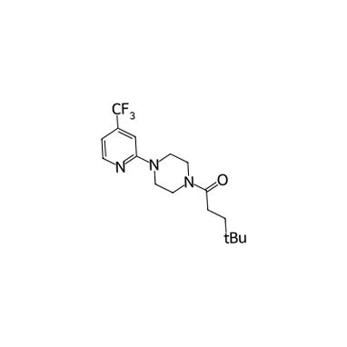 CC(C)(C)CCC(=O)N1CCN(c2cc(C(F)(F)F)ccn2)CC1